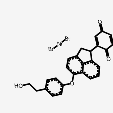 O=C1C=CC(=O)C(C2Cc3ccc(Oc4ccc(CCO)cc4)c4cccc2c34)=C1.[Br][Ni][Br]